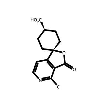 O=C1O[C@]2(CC[C@H](C(=O)O)CC2)c2ccnc(Cl)c21